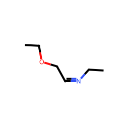 CC/N=[C]\COCC